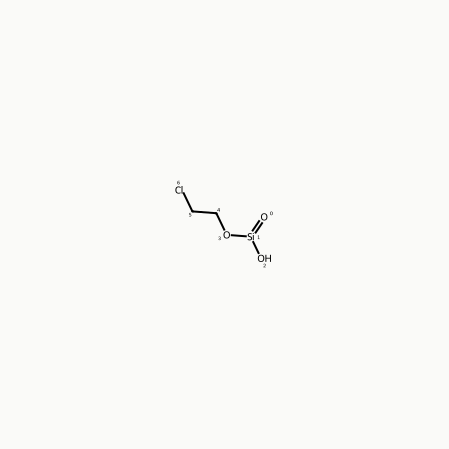 O=[Si](O)OCCCl